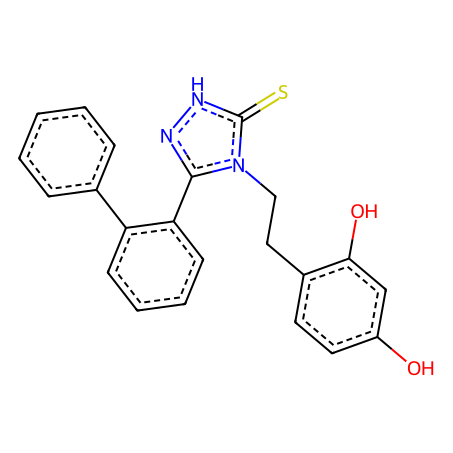 Oc1ccc(CCn2c(-c3ccccc3-c3ccccc3)n[nH]c2=S)c(O)c1